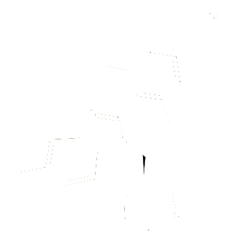 CC(=O)N1CCO[C@@H](Cn2c(-c3c(F)cc(S(N)(=O)=O)cc3Cl)nc3cc(C)c(F)cc32)C1